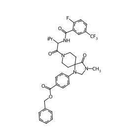 CC(C)C(NC(=O)c1cc(C(F)(F)F)ccc1F)C(=O)N1CCC2(CC1)C(=O)N(C)CN2c1ccc(C(=O)OCc2ccccc2)cc1